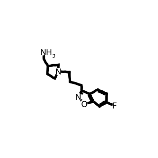 NCC1CCN(CCCc2noc3cc(F)ccc23)C1